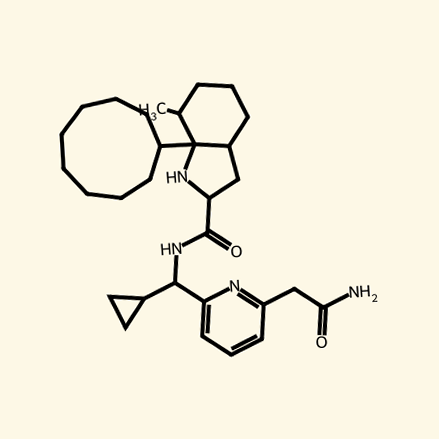 CC1CCCC2CC(C(=O)NC(c3cccc(CC(N)=O)n3)C3CC3)NC12C1CCCCCCCC1